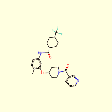 Cc1ccc(NC(=O)[C@H]2CC[C@H](C(F)(F)F)CC2)cc1OC1CCN(C(=O)c2cccnc2)CC1